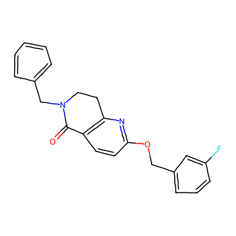 O=C1c2ccc(OCc3cccc(F)c3)nc2CCN1Cc1ccccc1